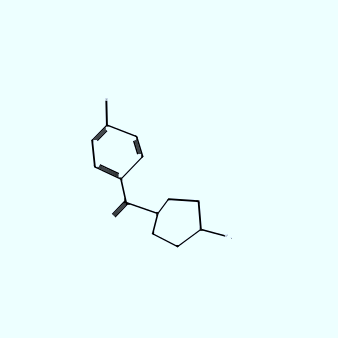 NC1CCC(C(=O)c2ccc(Cl)cc2)CC1